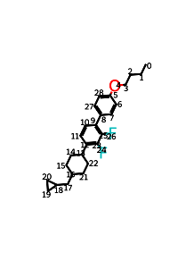 CCCCOc1ccc(-c2ccc(C3CCC(CC4CC4)CC3)c(F)c2F)cc1